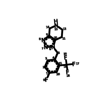 Fc1ccc(Cn2nnc3c2CCNC3)c(C(F)(F)F)c1